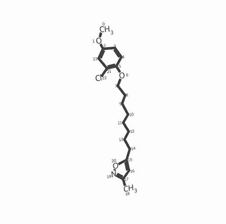 COc1ccc(OCCCCCCCCc2cc(C)no2)c(Cl)c1